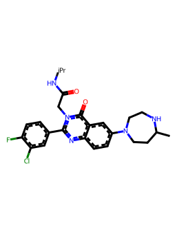 CC(C)NC(=O)Cn1c(-c2ccc(F)c(Cl)c2)nc2ccc(N3CCNC(C)CC3)cc2c1=O